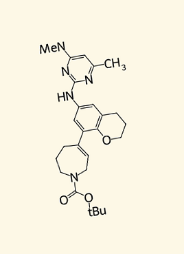 CNc1cc(C)nc(Nc2cc3c(c(C4=CCN(C(=O)OC(C)(C)C)CCC4)c2)OCCC3)n1